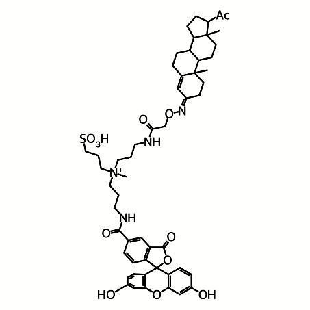 CC(=O)C1CCC2C3CCC4=C/C(=N\OCC(=O)NCCC[N+](C)(CCCNC(=O)c5ccc6c(c5)C(=O)OC65c6ccc(O)cc6Oc6cc(O)ccc65)CCCS(=O)(=O)O)CCC4(C)C3CCC12C